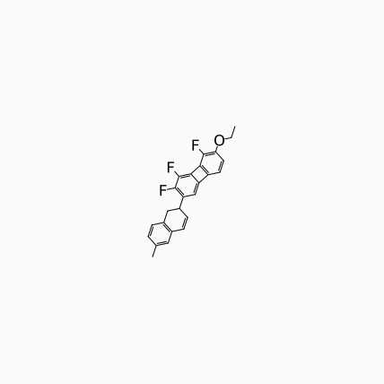 CCOc1ccc2c(c1F)-c1c-2cc(C2C=Cc3cc(C)ccc3C2)c(F)c1F